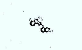 Nc1nc2c(F)cccc2c2nc(Cc3cccc4c3CCNC4)cn12